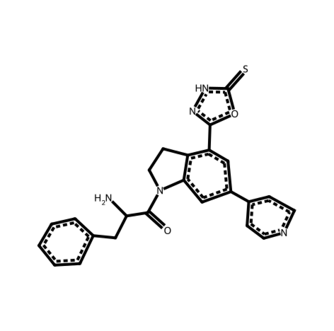 NC(Cc1ccccc1)C(=O)N1CCc2c(-c3n[nH]c(=S)o3)cc(-c3ccncc3)cc21